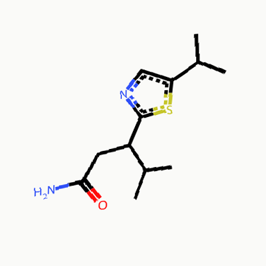 CC(C)c1cnc(C(CC(N)=O)C(C)C)s1